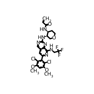 C=CC(=O)N[C@H]1CCOC[C@H]1Nc1ncc2cc(-c3c(Cl)c(OC)cc(OC)c3Cl)nc(NCC(F)(F)F)c2n1